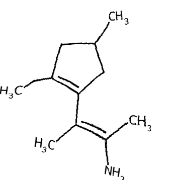 CC1=C(/C(C)=C(\C)N)CC(C)C1